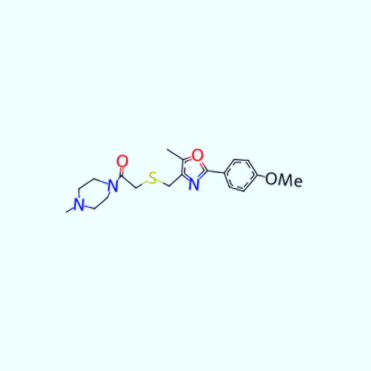 COc1ccc(-c2nc(CSCC(=O)N3CCN(C)CC3)c(C)o2)cc1